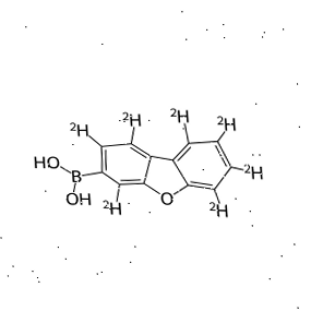 [2H]c1c([2H])c([2H])c2c(oc3c([2H])c(B(O)O)c([2H])c([2H])c32)c1[2H]